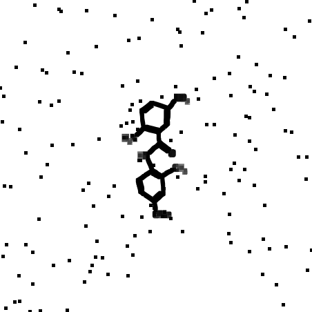 COc1ccc(NC(=O)c2cc([N+](=O)[O-])ccc2N)c(C)c1